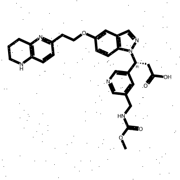 COC(=O)NCc1cncc([C@@H](CC(=O)O)n2ncc3cc(OCCc4ccc5c(n4)CCCN5)ccc32)c1